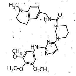 COc1cc(Nc2nccc(N3CCC[C@H](C(=O)NCc4ccc5c(c4)CCCN5C)C3)n2)cc(OC)c1OC